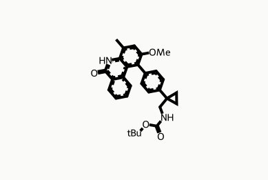 COc1cc(C)c2[nH]c(=O)c3ccccc3c2c1-c1ccc(C2(CNC(=O)OC(C)(C)C)CC2)cc1